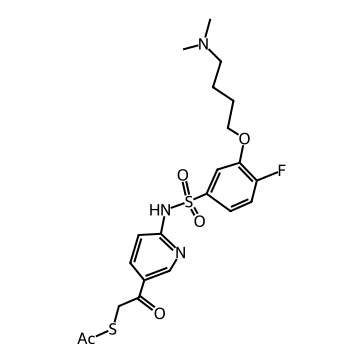 CC(=O)SCC(=O)c1ccc(NS(=O)(=O)c2ccc(F)c(OCCCCN(C)C)c2)nc1